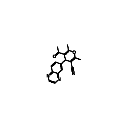 CC(=O)C1=C(C)OC(C)=C(C#N)C1c1ccc2nccnc2c1